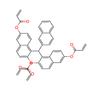 C=CC(=O)Oc1ccc2c(C(c3ccc4ccccc4c3)c3c(OC(=O)C=C)ccc4cc(OC(=O)C=C)ccc34)c(OC(=O)C=C)ccc2c1